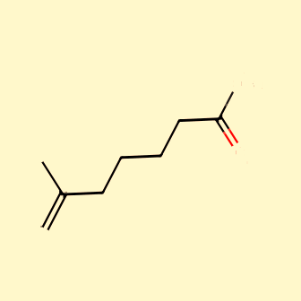 C=C(C)CCCCC(=O)OCC(C)C